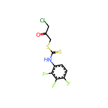 O=C(CCl)CSC(=S)Nc1ccc(F)c(F)c1F